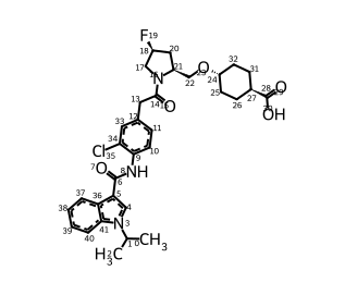 CC(C)n1cc(C(=O)Nc2ccc(CC(=O)N3C[C@@H](F)C[C@H]3CO[C@H]3CC[C@H](C(=O)O)CC3)cc2Cl)c2ccccc21